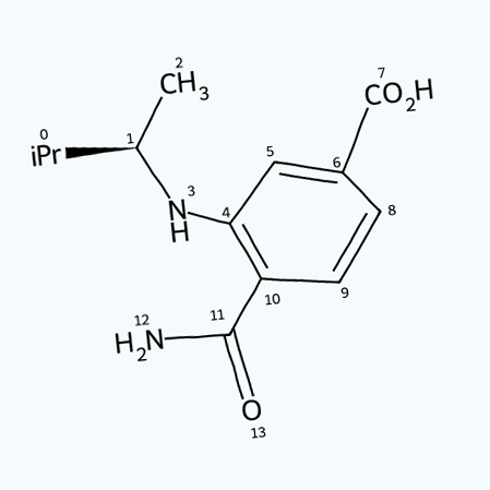 CC(C)[C@@H](C)Nc1cc(C(=O)O)ccc1C(N)=O